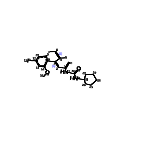 C=C(/C=C(\C(C)=C/C)c1ccc(F)cc1OC)NC(=O)NC1CCCCC1